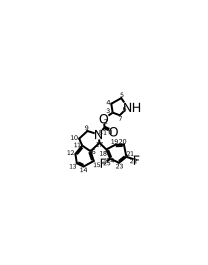 O=C(OC1CCNC1)N1CCc2ccccc2C1c1ccc(F)cc1F